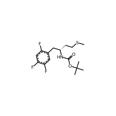 CSCC[C@@H](Cc1cc(F)c(F)cc1F)NC(=O)OC(C)(C)C